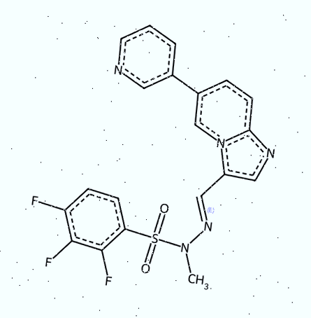 CN(/N=C/c1cnc2ccc(-c3cccnc3)cn12)S(=O)(=O)c1ccc(F)c(F)c1F